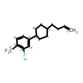 C=CCCC1CCC(c2ccc(C(F)(F)F)c(F)c2)CC1